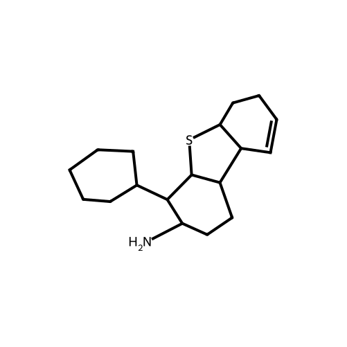 NC1CCC2C3C=CCCC3SC2C1C1CCCCC1